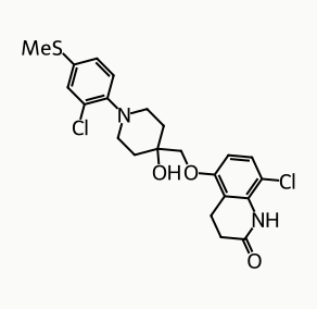 CSc1ccc(N2CCC(O)(COc3ccc(Cl)c4c3CCC(=O)N4)CC2)c(Cl)c1